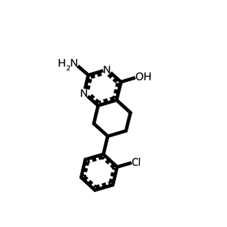 Nc1nc(O)c2c(n1)CC(c1ccccc1Cl)CC2